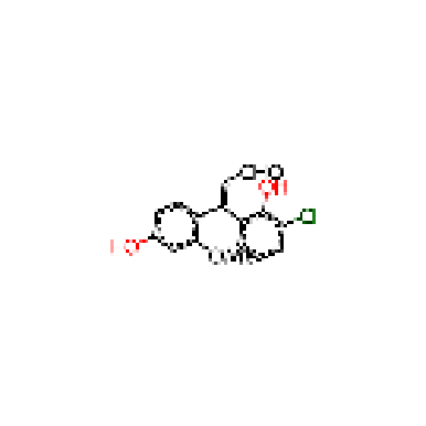 COc1cc(O)ccc1/C(=C/C=O)c1cccc(Cl)c1O